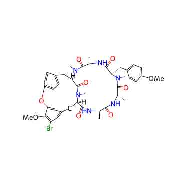 COc1ccc(C[C@H]2C(=O)N[C@@H](C)C(=O)N(C)[C@H]3Cc4ccc(cc4)Oc4cc(cc(Br)c4OC)C[C@@H](C(=O)N[C@H](C)C(=O)N[C@@H](C)C(=O)N2C)N(C)C3=O)cc1